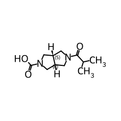 CC(C)C(=O)N1C[C@H]2CN(C(=O)O)C[C@H]2C1